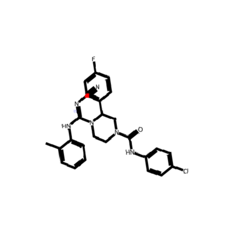 Cc1ccccc1N/C(=N/C#N)N1CCN(C(=O)Nc2ccc(Cl)cc2)CC1c1ccc(F)cc1